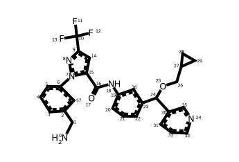 NCc1cccc(-n2nc(C(F)(F)F)cc2C(=O)Nc2cccc(C(OCC3CC3)c3cccnc3)c2)c1